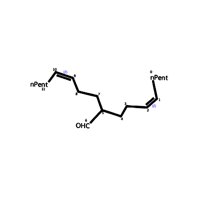 CCCCC/C=C\CCC(C=O)CC/C=C\CCCCC